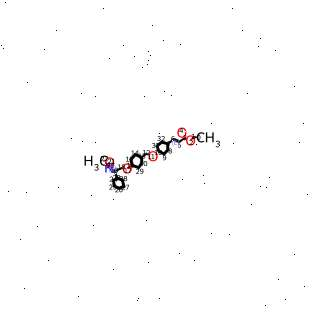 CCOC(=O)/C=C/c1ccc(OCc2ccc(OC/C(=N\OC)c3ccccc3)cc2)cc1